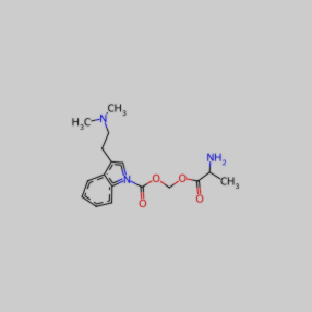 CC(N)C(=O)OCOC(=O)n1cc(CCN(C)C)c2ccccc21